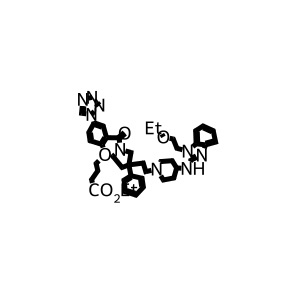 CCOCCn1c(NC2CCN(CCC3(c4ccccc4)CCN(C(=O)c4cc(-n5cnnn5)ccc4OCCCC(=O)OCC)C3)CC2)nc2ccccc21